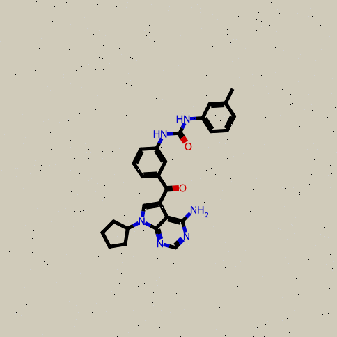 Cc1cccc(NC(=O)Nc2cccc(C(=O)c3cn(C4CCCC4)c4ncnc(N)c34)c2)c1